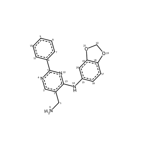 NCc1cnc(-c2ccccc2)nc1Nc1ccc2c(c1)OCO2